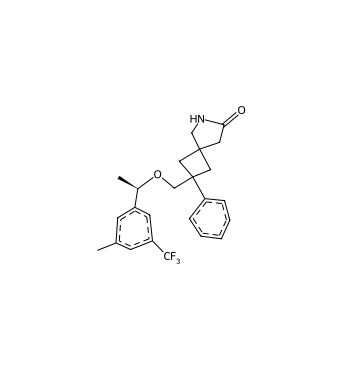 Cc1cc([C@@H](C)OCC2(c3ccccc3)CC3(CNC(=O)C3)C2)cc(C(F)(F)F)c1